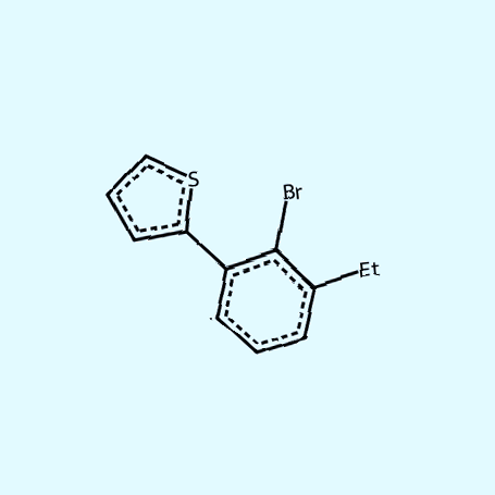 CCc1cc[c]c(-c2cccs2)c1Br